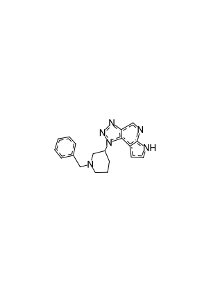 c1ccc(CN2CCCC(n3nnc4cnc5[nH]ccc5c43)C2)cc1